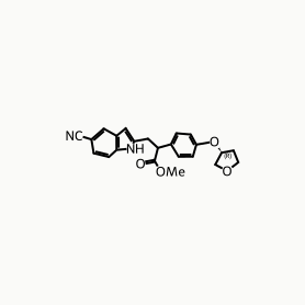 COC(=O)C(Cc1cc2cc(C#N)ccc2[nH]1)c1ccc(O[C@@H]2CCOC2)cc1